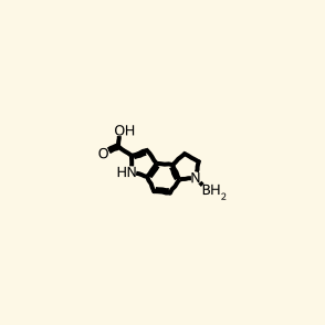 BN1CCc2c1ccc1[nH]c(C(=O)O)cc21